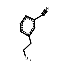 CCCc1c[c]cc(C#N)c1